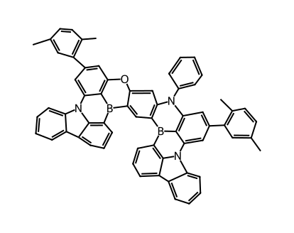 Cc1ccc(C)c(-c2cc3c4c(c2)-n2c5ccccc5c5cccc(c52)B4c2cc4c(cc2O3)N(c2ccccc2)c2cc(-c3cc(C)ccc3C)cc3c2B4c2cccc4c5ccccc5n-3c24)c1